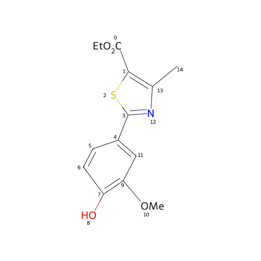 CCOC(=O)c1sc(-c2ccc(O)c(OC)c2)nc1C